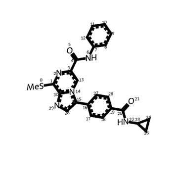 CSc1nc(C(=O)Nc2ccccc2)cn2c(-c3ccc(C(=O)NC4CC4)cc3)cnc12